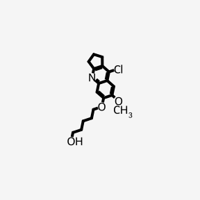 COc1cc2c(Cl)c3c(nc2cc1OCCCCCO)CCC3